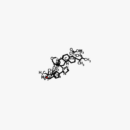 CC(C)[C@@H](C)[C@@]1(C)CC[C@]2(C)[C@H]3CC[C@@H]4[C@@]5(COC[C@@]4(C)[C@@H](OC[C@](C)(N)C(C)(C)C)[C@H](n4ncnc4-c4ccc(CN)cc4)C5)C3=CC[C@@]2(C)[C@@H]1C(=O)O